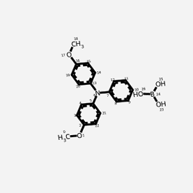 COc1ccc(N(c2ccccc2)c2ccc(OC)cc2)cc1.OB(O)O